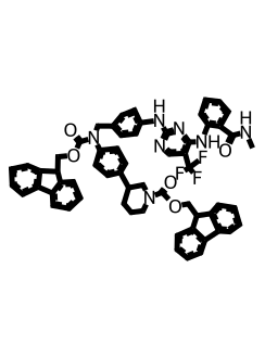 CNC(=O)c1ccccc1Nc1nc(Nc2ccc(CN(C(=O)OCC3c4ccccc4-c4ccccc43)c3ccc(C4CCCN(C(=O)OCC5c6ccccc6-c6ccccc65)C4)cc3)cc2)ncc1C(F)(F)F